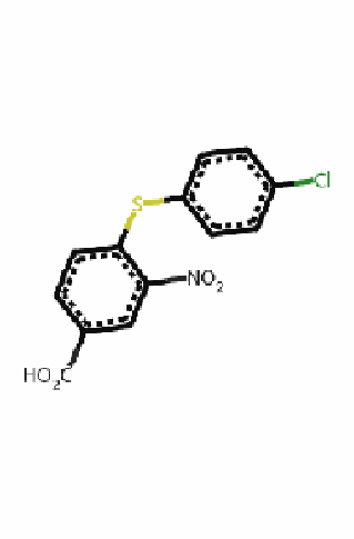 O=C(O)c1ccc(Sc2ccc(Cl)cc2)c([N+](=O)[O-])c1